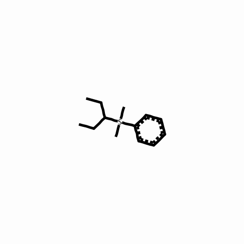 CCC(CC)S(C)(C)c1ccccc1